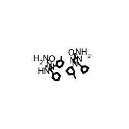 Cc1cccc(-n2nc(C(N)=O)nc2-c2ccccc2)c1.Cc1cccc(N2C(c3ccccc3)NCN2C(N)=O)c1